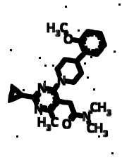 COc1ccccc1C1CCN(c2nc(C3CC3)nc(C)c2CC(=O)N(C)C)CC1